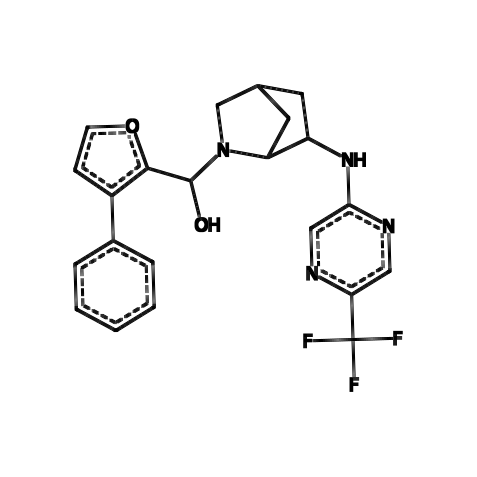 OC(c1occc1-c1ccccc1)N1CC2CC(Nc3cnc(C(F)(F)F)cn3)C1C2